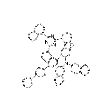 c1ccc(-c2ccc(-c3ccc(-c4cc5c(cc4-n4c6cc7ccccc7cc6c6c7ccccc7ccc64)oc4cccc(-c6nc(-c7ccccc7)nc(-c7cccc8ccccc78)n6)c45)cc3)cc2)cc1